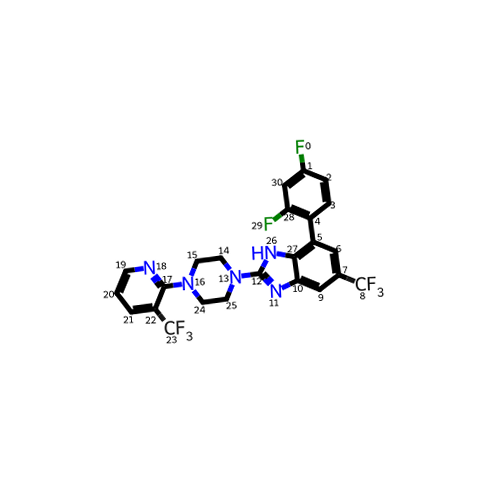 Fc1ccc(-c2cc(C(F)(F)F)cc3nc(N4CCN(c5ncccc5C(F)(F)F)CC4)[nH]c23)c(F)c1